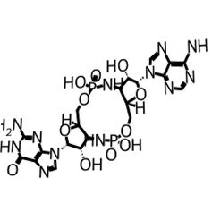 Nc1nc2c(ncn2[C@@H]2O[C@@H]3COP(=O)(O)NC4[C@@H](COP(=O)(O)NC3[C@@H]2O)O[C@@H](n2cnc3c(N)ncnc32)[C@H]4O)c(=O)[nH]1